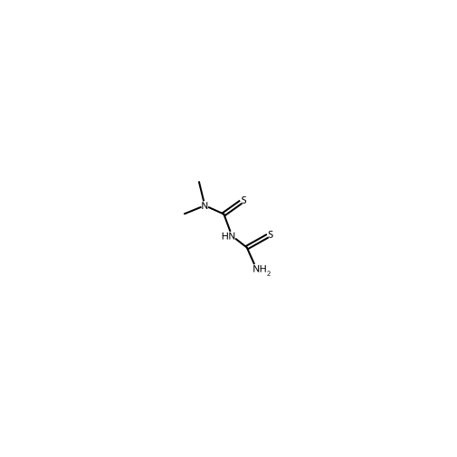 CN(C)C(=S)NC(N)=S